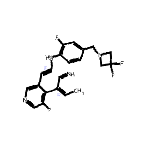 C/C=C(\C=N)c1c(F)cncc1/C=C/Nc1ccc(CN2CC(F)(F)C2)cc1F